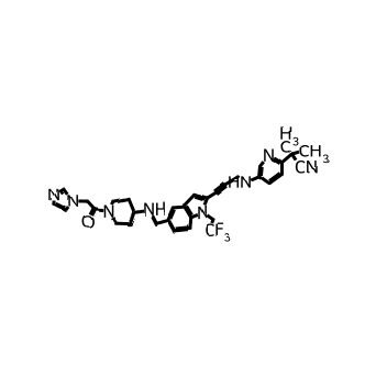 CC(C)(C#N)c1ccc(NCC#Cc2cc3cc(CNC4CCN(C(=O)Cn5ccnc5)CC4)ccc3n2CC(F)(F)F)cn1